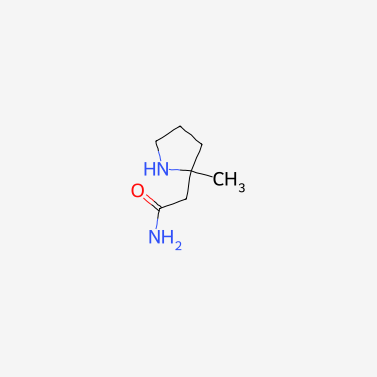 CC1(CC(N)=O)CCCN1